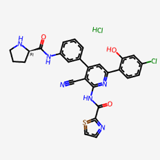 Cl.N#Cc1c(-c2cccc(NC(=O)[C@H]3CCCN3)c2)cc(-c2ccc(Cl)cc2O)nc1NC(=O)c1nccs1